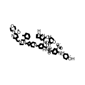 COc1cc(CN2CCN(C3CC4(CCN(c5ccc(C(=O)NS(=O)(=O)c6ccc(NC[C@H]7CC[C@](C)(O)CC7)c([N+](=O)[O-])c6)c(N6C[C@H]7COCC[C@@H]7Oc7nc8[nH]ccc8cc76)c5)CC4)C3)[C@H](c3ccccc3C)C2)cnc1N1CCOCC1